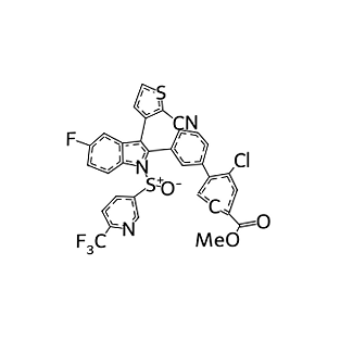 COC(=O)c1ccc(-c2cccc(-c3c(-c4ccsc4C#N)c4cc(F)ccc4n3[S+]([O-])c3ccc(C(F)(F)F)nc3)c2)c(Cl)c1